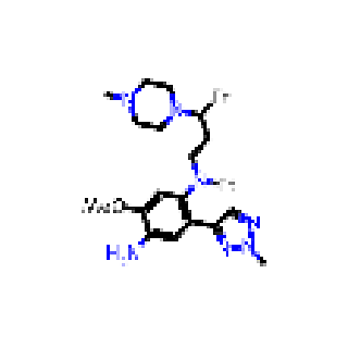 CCC(CCN(CC)c1cc(OC)c(N)cc1-c1cnn(C)n1)N1CCN(C)CC1